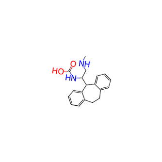 CNCC(NC(=O)O)C1c2ccccc2CCc2ccccc21